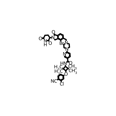 CC1(C)C(NC(=O)c2ccc(N3CCN(Cc4ccc5c(c4Br)CN(C4CCC(=O)NC4=O)C5=O)CC3)nc2)C(C)(C)C1Oc1ccc(C#N)c(Cl)c1